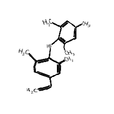 C=Cc1cc(C)c(Bc2c(C)cc(C)cc2C)c(C)c1